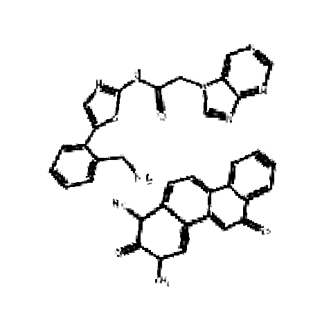 CC1C=c2c(ccc3c2=CC(=O)c2ccccc2-3)C(C)C1=O.NCc1ccccc1-c1cnc(NC(=O)Cn2cnc3ncncc32)s1